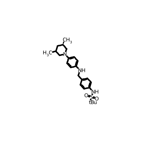 CC1C[C@@H](C)CN(c2ccc(NCc3ccc(NS(=O)(=O)C(C)(C)C)cc3)cc2)C1